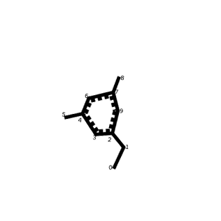 CCc1cc(C)cc(C)c1